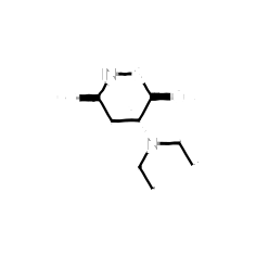 CCN(CC)[C@@H]1CC(=O)NSC1=O